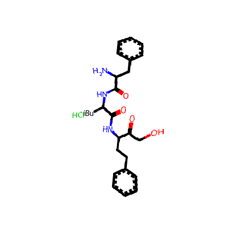 CCC(C)C(NC(=O)C(N)Cc1ccccc1)C(=O)NC(CCc1ccccc1)C(=O)CO.Cl